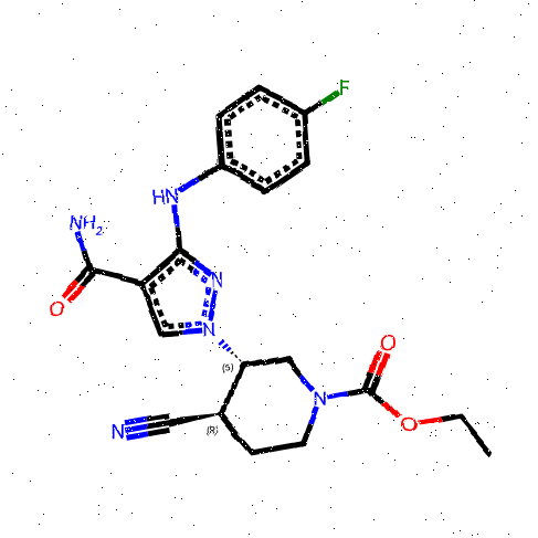 CCOC(=O)N1CC[C@@H](C#N)[C@H](n2cc(C(N)=O)c(Nc3ccc(F)cc3)n2)C1